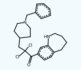 O=C(c1ccc2c(c1)NCCCC2)C(Cl)(Cl)CC1CCN(Cc2ccccc2)CC1